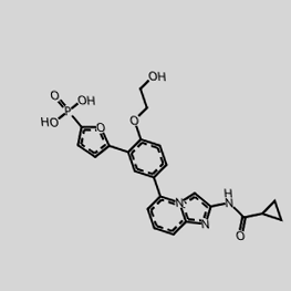 O=C(Nc1cn2c(-c3ccc(OCCO)c(-c4ccc(P(=O)(O)O)o4)c3)cccc2n1)C1CC1